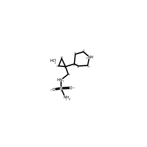 Cl.NS(=O)(=O)NCC1(C2CCNCC2)CC1